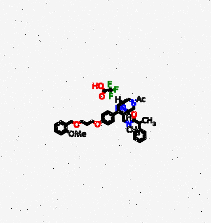 COc1ccccc1COCCCOc1ccc(C2=C(CN(C)C(=O)[C@@H](C)c3ccccc3)[C@H]3CN(C(C)=O)C[C@@H](C2)N3)cc1.O=C(O)C(F)(F)F